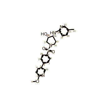 COc1ccc(-c2ccc(S(=O)(=O)N3CC[C@@H](Nc4ccc(C)cn4)[C@@H](O)C3)cc2)cn1